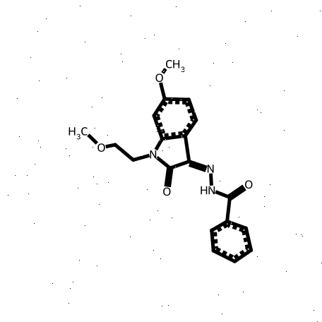 COCCN1C(=O)C(=NNC(=O)c2ccccc2)c2ccc(OC)cc21